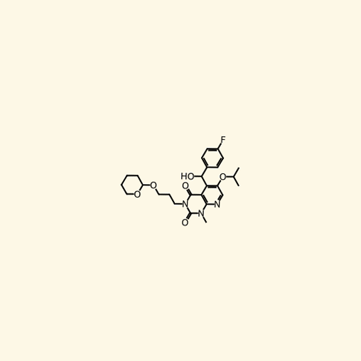 CC(C)Oc1cnc2c(c1C(O)c1ccc(F)cc1)c(=O)n(CCCOC1CCCCO1)c(=O)n2C